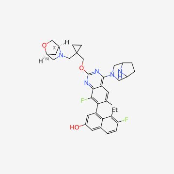 CCc1c(F)ccc2cc(O)cc(-c3c(C)cc4c(N5CC6CCC(C5)N6)nc(OCC5(CN6C[C@@H]7C[C@H]6CO7)CC5)nc4c3F)c12